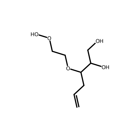 C=CCC(OCCOO)C(O)CO